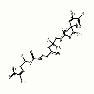 CC(=CCC(C)OC(=O)NCCC(C)CC(C)(C)CNC(=O)OC(C)C(O)(O)C=C(C)C(=O)O)C(=O)O